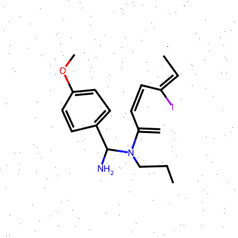 C=C(/C=C\C(I)=C/C)N(CCC)C(N)c1ccc(OC)cc1